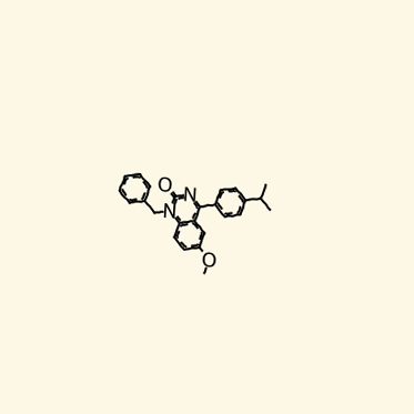 COc1ccc2c(c1)c(-c1ccc(C(C)C)cc1)nc(=O)n2Cc1ccccc1